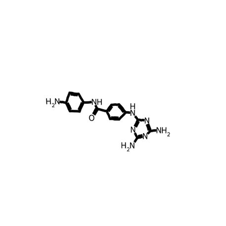 Nc1ccc(NC(=O)c2ccc(Nc3nc(N)nc(N)n3)cc2)cc1